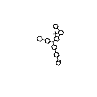 CC1(C)c2cc(N(c3ccc(-c4ccc(C5CC6CCC5C6)cc4)cc3)c3ccc(C4CCCCC4)cc3)ccc2-c2cccc(-c3ccccc3)c21